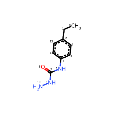 CCc1ccc(NC(=O)NN)cc1